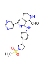 CS(=O)(=O)N1CCC(c2ccc(Nc3nc(-c4cncnc4)cc4c3C(C=O)NC=C4)cc2)C1